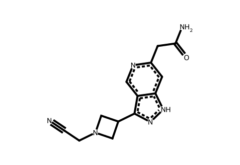 N#CCN1CC(c2n[nH]c3cc(CC(N)=O)ncc23)C1